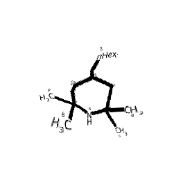 [CH2]CCCC[CH]C1CC(C)(C)NC(C)(C)C1